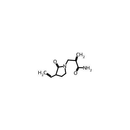 C=CC1CCN(CC(=C)C(N)=O)C1=O